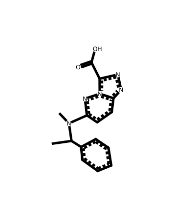 CC(c1ccccc1)N(C)c1ccc2nnc(C(=O)O)n2n1